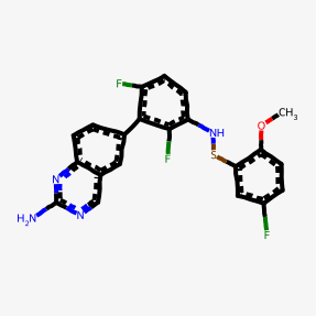 COc1ccc(F)cc1SNc1ccc(F)c(-c2ccc3nc(N)ncc3c2)c1F